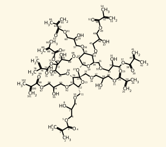 C=C(C)C(=O)OCC(O)COC[C@H]1O[C@@](COCC(O)COC(=O)C(=C)C)(O[C@H]2O[C@H](COCC(O)COC(=O)C(=C)C)[C@@H](OCC(O)COC(=O)C(=C)C)[C@H](OCC(O)COC(=O)C(=C)C)[C@H]2OCC(O)COC(=O)C(=C)C)[C@@H](OCC(O)COC(=O)C(=C)C)[C@@H]1OCC(O)COC(=O)C(=C)C